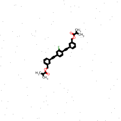 C=C(C)C(=O)OCc1cccc(C#Cc2ccc(C#Cc3cccc(COC(=O)C(=C)C)c3)c(F)c2)c1